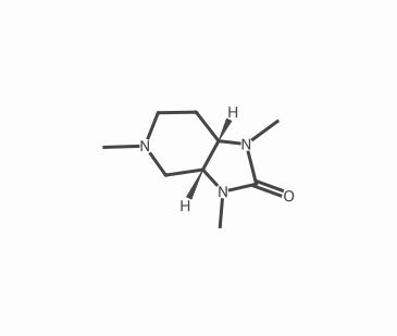 CN1CC[C@H]2[C@@H](C1)N(C)C(=O)N2C